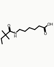 CCC(C)(C)C(=O)NCCCCCC(=O)O